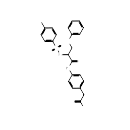 O=C(O)Cc1ccc(NC(=O)C(COc2ccccc2)NS(=O)(=O)c2ccc(I)cc2)cc1